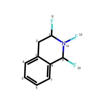 FC1Cc2ccccc2C(F)N1F